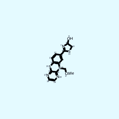 COCN1c2cc(C3=NC(O)CS3)ccc2Sc2nccnc21